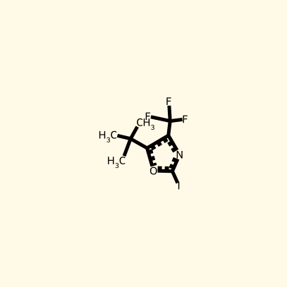 CC(C)(C)c1oc(I)nc1C(F)(F)F